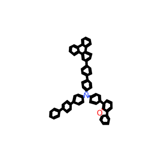 c1ccc(-c2ccc(-c3ccc(N(c4ccc(-c5ccc(-c6ccc7c8ccccc8c8ccccc8c7c6)cc5)cc4)c4ccc(-c5cccc6c5oc5ccccc56)cc4)cc3)cc2)cc1